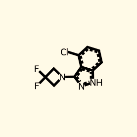 FC1(F)CN(c2n[nH]c3cccc(Cl)c23)C1